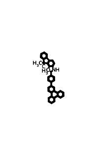 CC1(C)c2ccccc2-c2ccc3c(c21)OC(c1ccc(-c2ccc4c5ccccc5c5ccccc5c4c2)cc1)N3